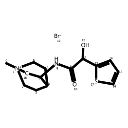 C[N+]12CCC(CC1)C(NC(=O)C(O)c1cccs1)C2.[Br-]